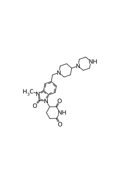 Cn1c(=O)n(C2CCC(=O)NC2=O)c2ccc(CN3CCC(N4CCNCC4)CC3)cc21